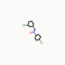 [O-][N+](=Cc1cccc(Cl)c1)c1ccc(Cl)cc1